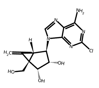 C=C1[C@@H]2[C@@H](n3cnc4c(N)nc(Cl)nc43)[C@H](O)[C@H](O)[C@]12CO